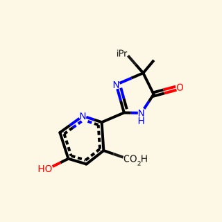 CC(C)C1(C)N=C(c2ncc(O)cc2C(=O)O)NC1=O